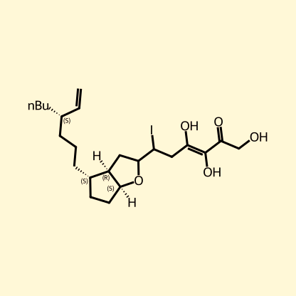 C=C[C@@H](CCCC)CCC[C@H]1CC[C@@H]2OC(C(I)CC(O)=C(O)C(=O)CO)C[C@H]12